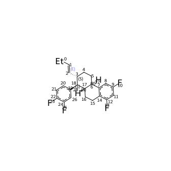 CC/C=C/[C@@H]1CC[C@H]2c3cc(F)cc(F)c3CC[C@@H]2[C@H]1c1ccc(F)c(F)c1